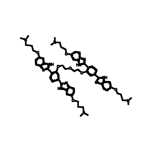 CN(C)CCCOc1ccc2nc(-c3ccc(-c4nc5ccc(OCCCN(C)C)cc5[nH]4)c(OCCOCCOc4cc(-c5nc6ccc(OCCCN(C)C)cc6[nH]5)ccc4-c4nc5ccc(OCCCN(C)C)cc5[nH]4)c3)[nH]c2c1